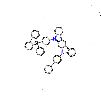 c1ccc(-c2ccc(-n3c4ccccc4c4cc5c6ccccc6n(-c6ccc([Si]7(c8ccccc8)c8ccccc8-c8ccccc87)cc6)c5cc43)cc2)cc1